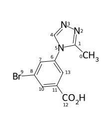 Cc1nncn1-c1cc(Br)cc(C(=O)O)c1